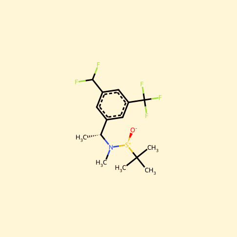 C[C@H](c1cc(C(F)F)cc(C(F)(F)F)c1)N(C)[S@@+]([O-])C(C)(C)C